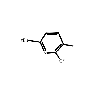 CC(C)(C)c1ccc(F)c(C(F)(F)F)n1